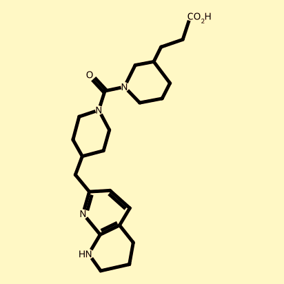 O=C(O)CCC1CCCN(C(=O)N2CCC(Cc3ccc4c(n3)NCCC4)CC2)C1